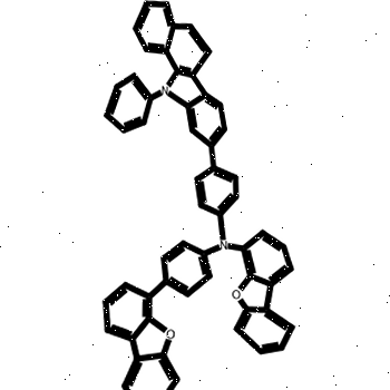 c1ccc(-n2c3cc(-c4ccc(N(c5ccc(-c6cccc7c6oc6ccccc67)cc5)c5cccc6c5oc5ccccc56)cc4)ccc3c3ccc4ccccc4c32)cc1